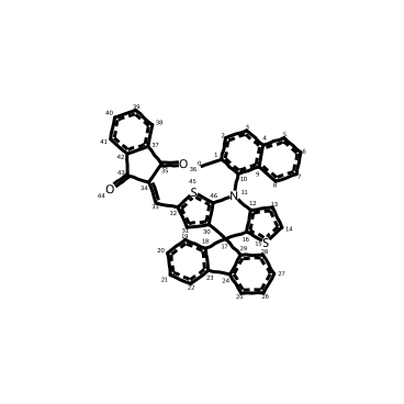 Cc1ccc2ccccc2c1N1c2ccsc2C2(c3ccccc3-c3ccccc32)c2cc(C=C3C(=O)c4ccccc4C3=O)sc21